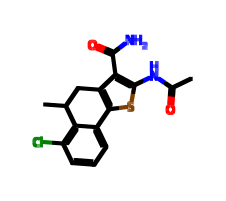 CC(=O)Nc1sc2c(c1C(N)=O)CC(C)c1c(Cl)cccc1-2